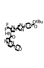 CC(C)(C)OC(=O)N1CCN(c2ncc(-n3cc(NC(=O)c4cnn5ccc(N6CCOCC6)nc45)c(C(F)F)n3)cn2)CC1